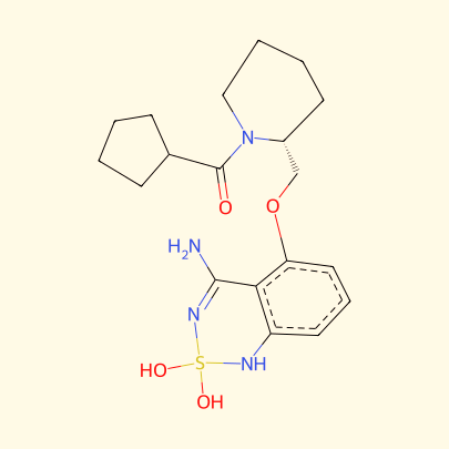 NC1=NS(O)(O)Nc2cccc(OC[C@H]3CCCCN3C(=O)C3CCCC3)c21